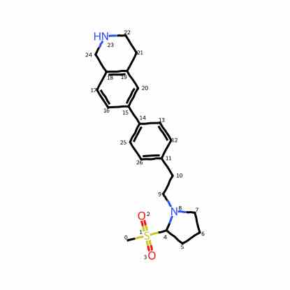 CS(=O)(=O)C1CCCN1CCc1ccc(-c2ccc3c(c2)CCNC3)cc1